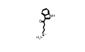 [CH2-][CH+]CCCCC(=O)c1c[nH]c2ccccc12